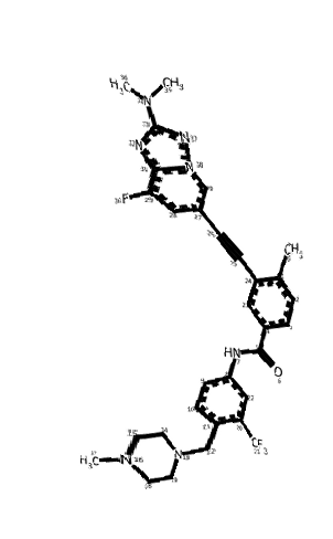 Cc1ccc(C(=O)Nc2ccc(CN3CCN(C)CC3)c(C(F)(F)F)c2)cc1C#Cc1cc(F)c2nc(N(C)C)nn2c1